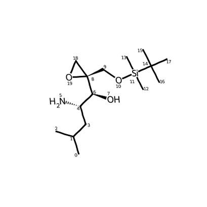 CC(C)C[C@H](N)[C@H](O)[C@@]1(CO[Si](C)(C)C(C)(C)C)CO1